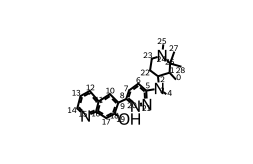 CC1C(N(C)c2ccc(-c3cc4cccnc4cc3O)nn2)CCN(C)C1(C)C